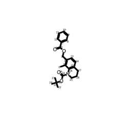 Cc1c(COC(=O)c2ccccc2)ccc2c1N(C(=O)OC(C)(C)C)CCC2